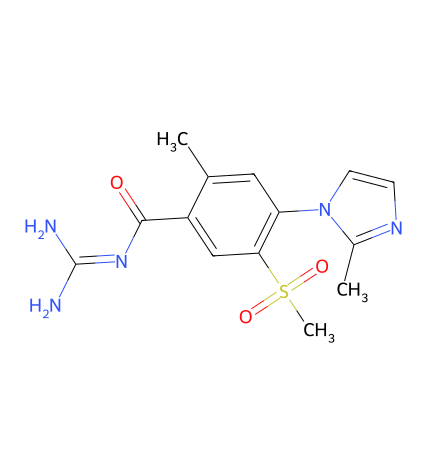 Cc1cc(-n2ccnc2C)c(S(C)(=O)=O)cc1C(=O)N=C(N)N